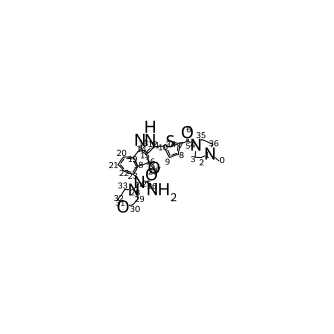 CN1CCN(C(=O)c2ccc(-c3[nH]nc4c3C(=O)c3c-4cccc3N(C(N)=O)N3CCOCC3)s2)CC1